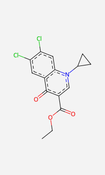 CCOC(=O)c1cn(C2CC2)c2cc(Cl)c(Cl)cc2c1=O